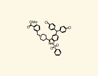 COC(=O)c1cccc(CN2CCC(c3nn(S(=O)(=O)c4ccccc4)c4ccc(C(c5ccc(Cl)cc5)c5ccc(Cl)cc5)cc34)CC2)c1